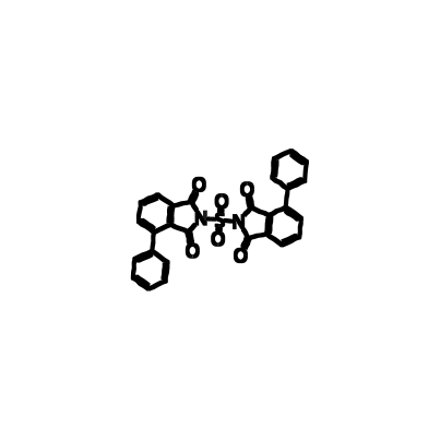 O=C1c2cccc(-c3ccccc3)c2C(=O)N1S(=O)(=O)N1C(=O)c2cccc(-c3ccccc3)c2C1=O